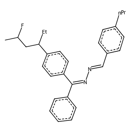 CCCc1ccc(C=NN=C(c2ccccc2)c2ccc(C(CC)CC(C)F)cc2)cc1